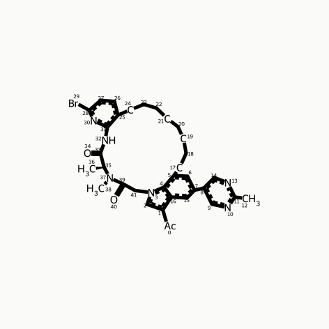 CC(=O)c1cn2c3c(cc(-c4cnc(C)nc4)cc13)CCCCCCCCc1ccc(Br)nc1NC(=O)[C@H](C)N(C)C(=O)C2